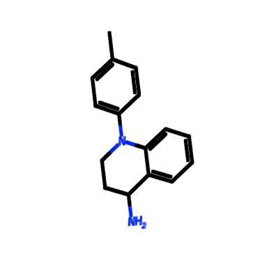 Cc1ccc(N2CCC(N)c3ccccc32)cc1